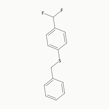 FC(F)c1ccc(SCc2ccccc2)cc1